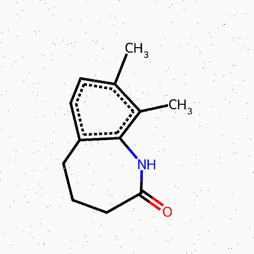 Cc1ccc2c(c1C)NC(=O)CCC2